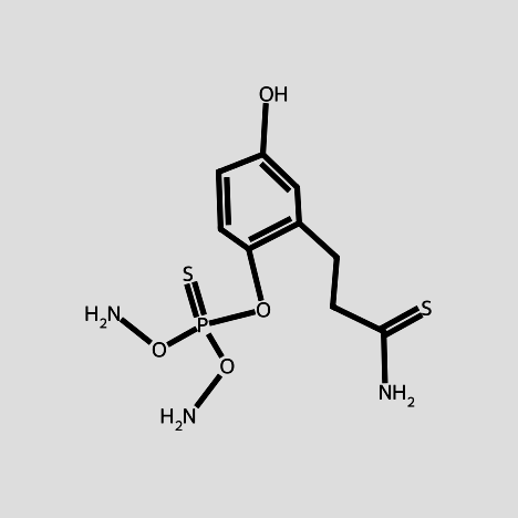 NOP(=S)(ON)Oc1ccc(O)cc1CCC(N)=S